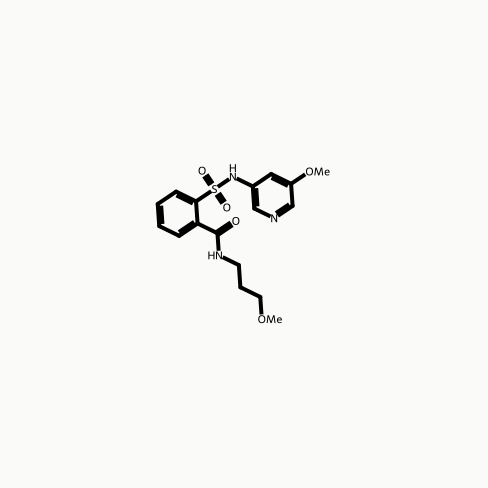 COCCCNC(=O)c1ccccc1S(=O)(=O)Nc1cncc(OC)c1